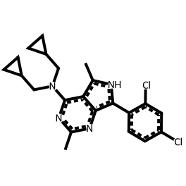 Cc1nc(N(CC2CC2)CC2CC2)c2c(C)[nH]c(-c3ccc(Cl)cc3Cl)c2n1